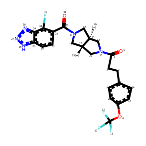 O=C(CCc1ccc(OC(F)(F)F)cc1)N1C[C@@H]2CN(C(=O)c3ccc4[nH]nnc4c3F)C[C@H]2C1